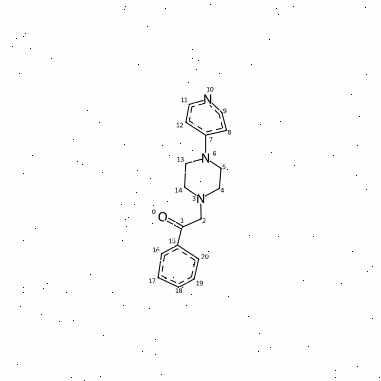 O=C(CN1CCN(c2ccncc2)CC1)c1cc[c]cc1